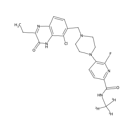 [2H]C([2H])([2H])NC(=O)c1ccc(N2CCN(Cc3ccc4nc(CC)c(=O)[nH]c4c3Cl)CC2)c(F)n1